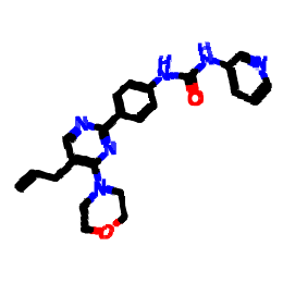 C=CCc1cnc(-c2ccc(NC(=O)Nc3cccnc3)cc2)nc1N1CCOCC1